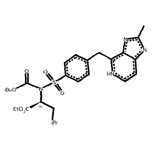 CCOC(=O)[C@H](CC(C)C)N(C(=O)OCC(C)C)S(=O)(=O)c1ccc(Cc2[nH]ccc3nc(C)nc2-3)cc1